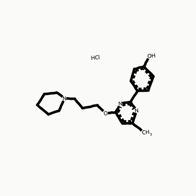 Cc1cc(OCCCN2CCCCC2)nc(-c2ccc(O)cc2)n1.Cl